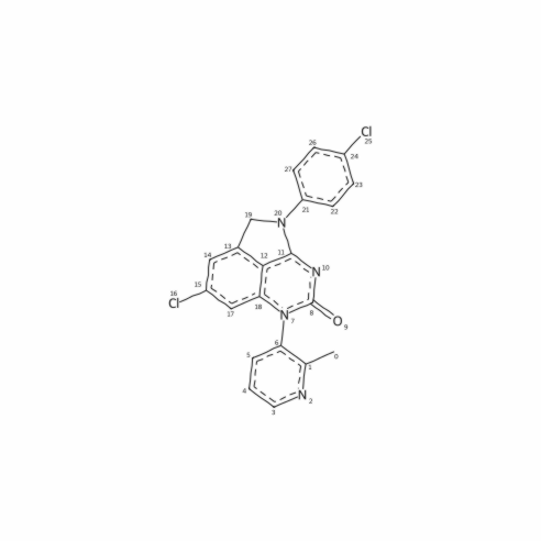 Cc1ncccc1-n1c(=O)nc2c3c(cc(Cl)cc31)CN2c1ccc(Cl)cc1